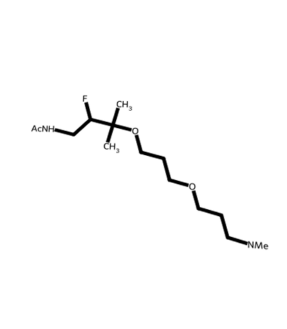 CNCCCOCCCOC(C)(C)C(F)CNC(C)=O